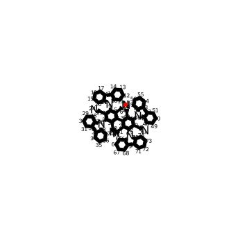 N#Cc1c(-c2c(C#N)c(-n3c4ccccc4c4ccccc43)c(C#N)c(-n3c4ccccc4c4ccccc43)c2C#N)c(C#N)c(-n2c3ccccc3c3ccccc32)c(C#N)c1-n1c2ccccc2c2ccccc21